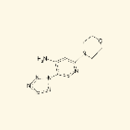 Nc1cc(N2CCOCC2)ncc1-n1ccnn1